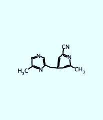 Cc1cc(Cc2cncc(C)n2)cc(C#N)n1